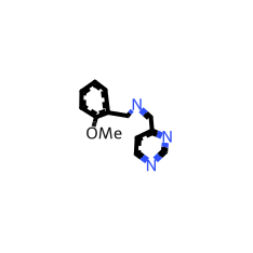 COc1ccccc1C/N=C\c1ccncn1